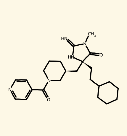 CN1C(=N)N[C@@](CCC2CCCCC2)(C[C@@H]2CCCN(C(=O)c3ccncc3)C2)C1=O